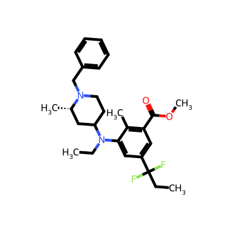 CCN(c1cc(C(F)(F)CC)cc(C(=O)OC)c1C)C1CCN(Cc2ccccc2)[C@@H](C)C1